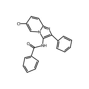 O=C(Nc1c(-c2ccccc2)nc2ccc(Cl)cn12)c1ccccc1